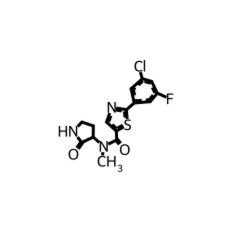 CN(C(=O)c1cnc(-c2cc(F)cc(Cl)c2)s1)C1CCNC1=O